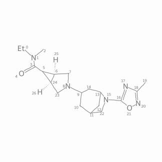 CCN(C)C(=O)C1[C@H]2CN(C3CC4CC(C3)N(c3nc(C)no3)C4)C[C@@H]12